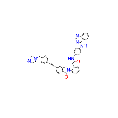 CN1CCN(Cc2ccc(C#Cc3ccc4c(c3)CN(c3ccccc3CC(=O)Nc3ccc(Nc5ncnc6ccccc56)cc3)C4=O)cc2)CC1